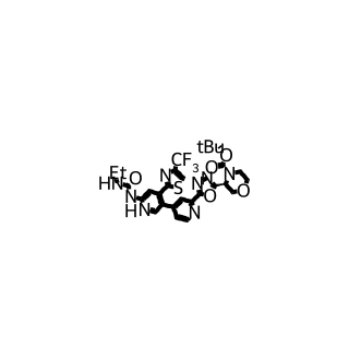 CCNC(=O)Nc1cc(-c2nc(C(F)(F)F)cs2)c(-c2ccnc(-c3nnc([C@@H]4COCCN4C(=O)OC(C)(C)C)o3)c2)cn1